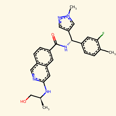 Cc1ccc([C@H](NC(=O)c2ccc3cnc(N[C@@H](C)CO)cc3c2)c2cnn(C)c2)cc1F